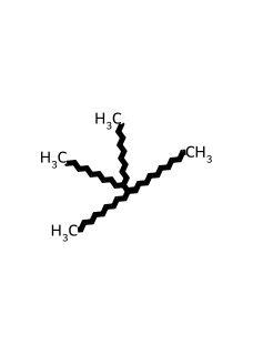 CCCCCCCCCC/C=C(/CCCCCCCCCC)[C](CCCCCCCCCC)CCCCCCCCCC